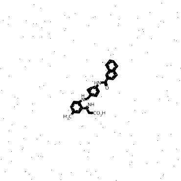 Cc1ccc(NCc2ccc(NC(=O)c3ccc4ccccc4c3)cc2)c(C(=N)CC(=O)O)c1